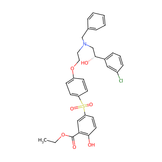 CCOC(=O)c1cc(S(=O)(=O)c2ccc(OCCN(Cc3ccccc3)C[C@@H](O)c3cccc(Cl)c3)cc2)ccc1O